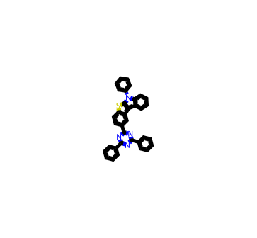 c1ccc(-c2nc(-c3ccccc3)nc(-c3ccc4sc5c(c4c3)c3ccccc3n5-c3ccccc3)n2)cc1